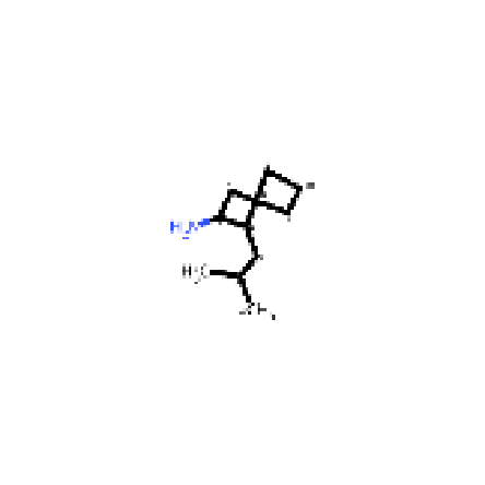 CC(C)CC1C(N)CC12CCC2